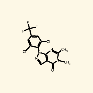 Cc1nc2c(cnn2-c2c(Cl)cc(C(F)(F)F)cc2Cl)c(=O)n1C